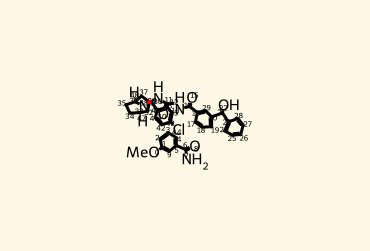 COc1cccc(C(N)=O)c1.O=C(CNC(=O)c1cccc(C(O)c2ccccc2)c1)N[C@H]1C[C@H]2CC[C@@H](C1)N2Cc1ccc(Cl)cc1